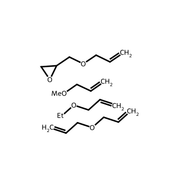 C=CCOC.C=CCOCC.C=CCOCC1CO1.C=CCOCC=C